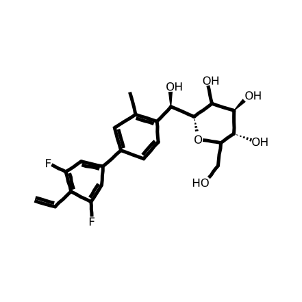 C=Cc1c(F)cc(-c2ccc([C@@H](O)[C@H]3OC(CO)[C@@H](O)[C@H](O)C3O)c(C)c2)cc1F